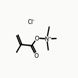 C=C(C)C(=O)O[N+](C)(C)C.[Cl-]